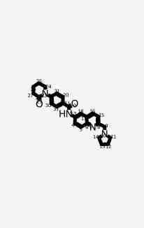 O=C(Nc1ccc2nc(CN3CCCC3)ccc2c1)c1ccc(N2CCCCC2=O)cc1